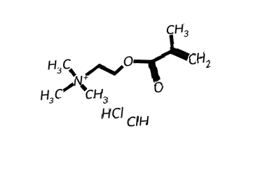 C=C(C)C(=O)OCC[N+](C)(C)C.Cl.Cl